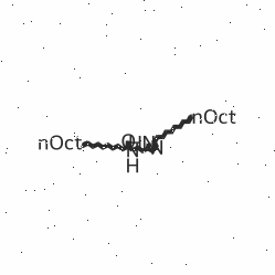 CCCCCCCC/C=C/CCCCCCCC(=O)NCCC1CN=C(CCCCCCC/C=C/CCCCCCCC)N1